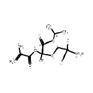 C=C(C)C(=O)OC(OCC(F)(F)S(=O)(=O)O)(C(=O)OC(C(F)(F)F)C(F)(F)F)C(F)(F)F